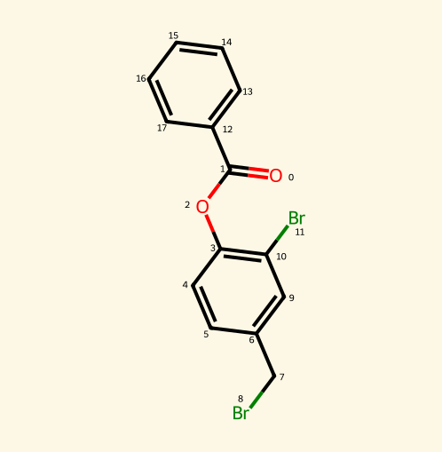 O=C(Oc1ccc(CBr)cc1Br)c1ccccc1